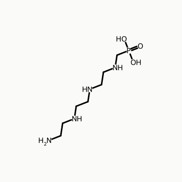 NCCNCCNCCNCP(=O)(O)O